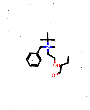 CC(C)(C)[N+](C)(CCO)Cc1ccccc1.CCCC[O-]